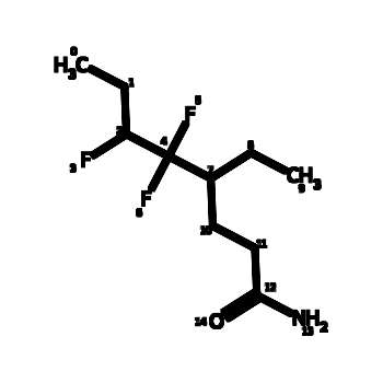 CCC(F)C(F)(F)C(CC)CCC(N)=O